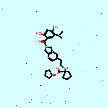 CC(C)c1cc(C(=O)N2Cc3ccc(CCNC4(C(=O)OC5CCCC5)CCCC4)cc3C2)c(O)cc1O